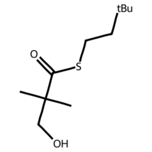 CC(C)(C)CCSC(=O)C(C)(C)CO